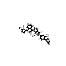 O=C1CCC(c2ncc(-n3ncc(C(=O)Nc4cnc(-n5nccn5)c(Cl)c4)c3C(F)(F)F)c3ccccc23)N1